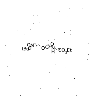 CCOC(=O)CCCNC(=O)c1ccc(OCCCC2CCN(C(=O)OC(C)(C)C)CC2)cc1